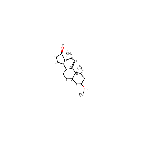 COC1=CC2=CCC3C(=CC[C@]4(C)C(=O)CCC34)[C@@]2(C)CC1